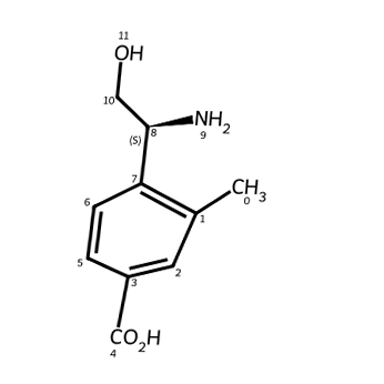 Cc1cc(C(=O)O)ccc1[C@H](N)CO